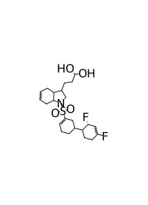 O=S(=O)(C1=CCCC(C2CCC(F)=C[C@H]2F)C1)N1CC(CCC(O)O)C2CC=CCC21